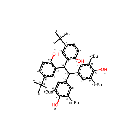 CCC(C)(C)c1ccc(O)c(C(c2cc(C(C)(C)CC)ccc2O)C(c2cc(C(C)(C)C)c(O)c(C(C)(C)C)c2)c2cc(C(C)(C)C)c(O)c(C(C)(C)C)c2)c1